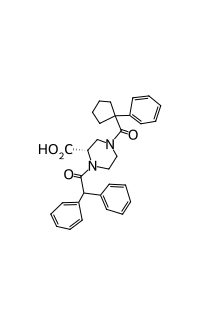 O=C(O)[C@@H]1CN(C(=O)C2(c3ccccc3)CCCC2)CCN1C(=O)C(c1ccccc1)c1ccccc1